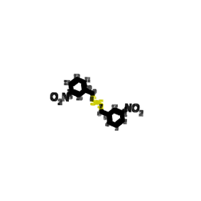 O=[N+]([O-])c1cccc(CSSCc2cccc([N+](=O)[O-])c2)c1